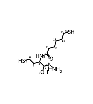 NNC(O)C(CCS)NC(=O)CCCCCS